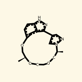 C[C@H]1COc2ccc3[nH]nc(c3c2)-c2cnn(c2)[C@@H](C)COCCO1